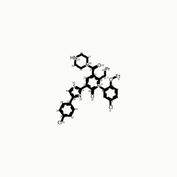 CCOc1ccc(Cl)cc1-n1c(CC(C)C)c(C(=O)N2CCNCC2)cc(-c2nc(-c3ccc(Cl)cc3)cs2)c1=O